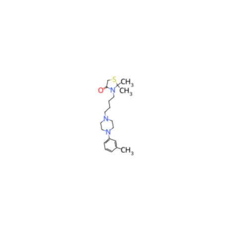 Cc1cccc(N2CCN(CCCCN3C(=O)CSC3(C)C)CC2)c1